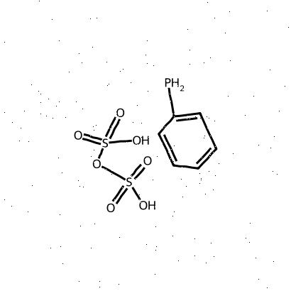 O=S(=O)(O)OS(=O)(=O)O.Pc1ccccc1